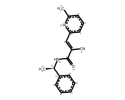 Cc1cccc(/C=C(\C#N)C(=O)N[C@H](C)c2ccccc2)n1